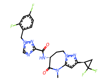 CN1C(=O)[C@H](NC(=O)c2ncn(Cc3ccc(F)cc3F)n2)CCn2nc([C@H]3CC3(F)F)cc21